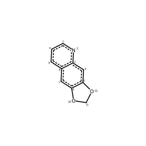 c1cnc2cc3c(cc2c1)OCO3